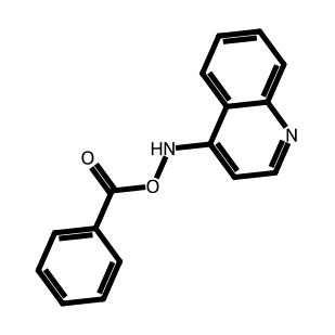 O=C(ONc1ccnc2ccccc12)c1ccccc1